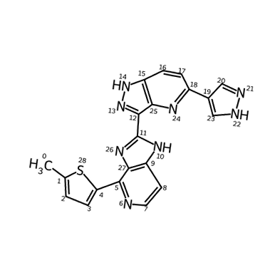 Cc1ccc(-c2nccc3[nH]c(-c4n[nH]c5ccc(-c6cn[nH]c6)nc45)nc23)s1